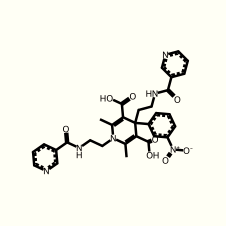 CC1=C(C(=O)O)C(CCNC(=O)c2cccnc2)(c2cccc([N+](=O)[O-])c2)C(C(=O)O)=C(C)N1CCNC(=O)c1cccnc1